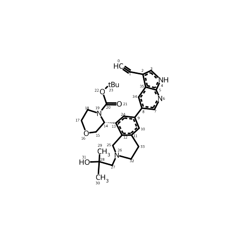 C#Cc1c[nH]c2ncc(-c3cc4c(c([C@@H]5COCCN5C(=O)OC(C)(C)C)c3)CN(CC(C)(C)O)CC4)cc12